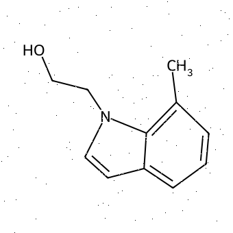 Cc1cccc2ccn(CCO)c12